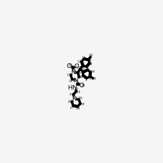 Cc1ccc(C2(c3ccc(C)cc3)OC(=O)N3CCN(C(=O)NCCN4CC=CCC4)CC32)cc1